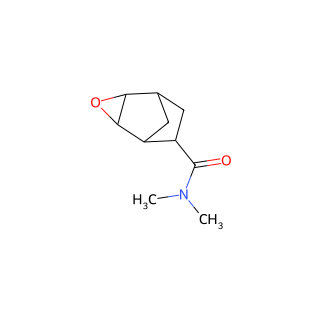 CN(C)C(=O)C1CC2CC1C1OC21